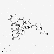 CNCCCCN1Cc2ccccc2N(c2ccccc2Cl)S1(O)O